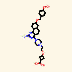 Nc1nc2c(c(N3CCN(CCOC4CC(C(O)O)C4)CC3)n1)CCc1cc(OCc3ccc(OO)cc3)ccc1-2